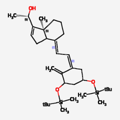 C=C1/C(=C\C=C2/CCC[C@]3(C)C([C@H](C)O)=CCC23)CC(O[Si](C)(C)C(C)(C)C)CC1O[Si](C)(C)C(C)(C)C